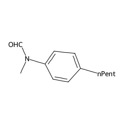 CCCCCc1ccc(N(C)C=O)cc1